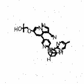 Cc1cnc(N[C@H]2[C@@H]3C[C@H]2CN(c2ccc(-c4cc(OCC(C)(C)O)cn5ncc(C#N)c45)cn2)C3)nc1